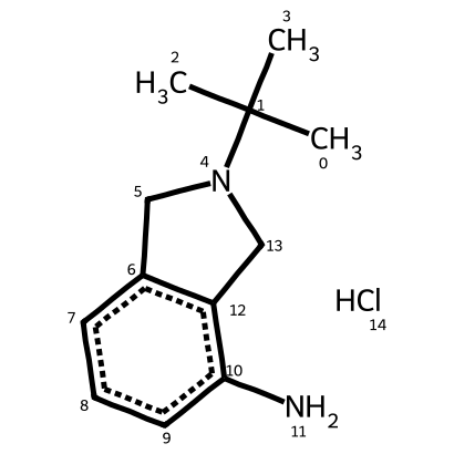 CC(C)(C)N1Cc2cccc(N)c2C1.Cl